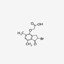 Cc1cc(C)c2c(c1OCC(=O)O)CC(Br)C2=O